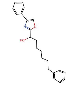 OC(CCCCCCc1ccccc1)c1nc(-c2ccccc2)co1